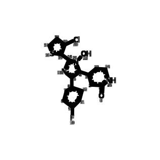 O=c1cc(-c2c(-c3ccc(F)cc3)nc(-c3sccc3Cl)n2O)cc[nH]1